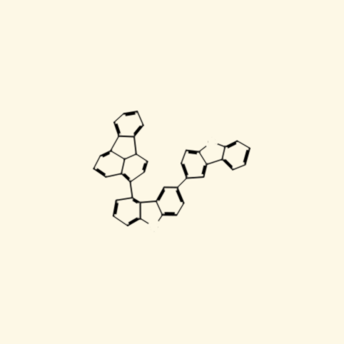 C1=CC2=C(c3cccc4oc5ccc(-c6ccc7oc8ccccc8c7c6)cc5c34)C=CC3c4ccccc4C(=C1)C23